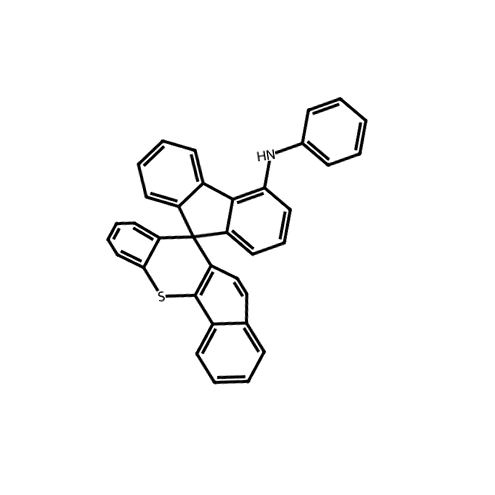 c1ccc(Nc2cccc3c2-c2ccccc2C32c3ccccc3Sc3c2ccc2ccccc32)cc1